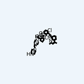 Cc1cc(C)c2cccc(OCc3c(Cl)ccc(S(=O)(=O)NC4(C(=O)N5CCN(CCN6CCNCC6)CC5)CCCC4)c3Cl)c2n1